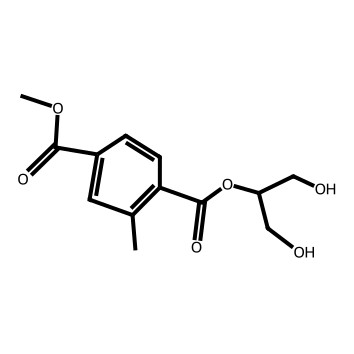 COC(=O)c1ccc(C(=O)OC(CO)CO)c(C)c1